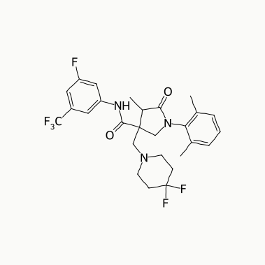 Cc1cccc(C)c1N1CC(CN2CCC(F)(F)CC2)(C(=O)Nc2cc(F)cc(C(F)(F)F)c2)C(C)C1=O